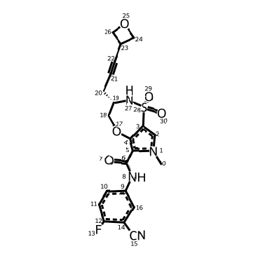 Cn1cc2c(c1C(=O)Nc1ccc(F)c(C#N)c1)OC[C@H](CC#CC1COC1)NS2(=O)=O